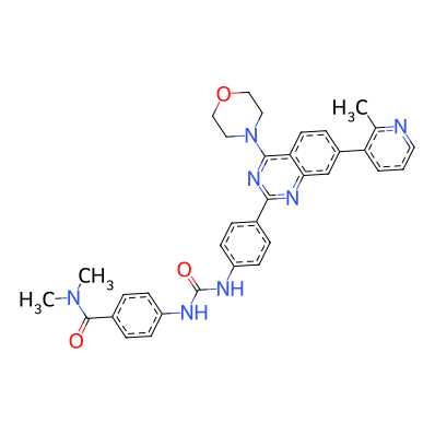 Cc1ncccc1-c1ccc2c(N3CCOCC3)nc(-c3ccc(NC(=O)Nc4ccc(C(=O)N(C)C)cc4)cc3)nc2c1